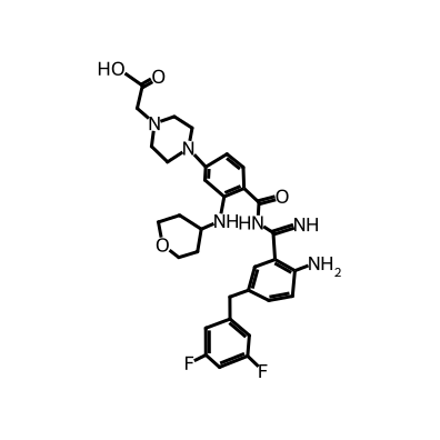 N=C(NC(=O)c1ccc(N2CCN(CC(=O)O)CC2)cc1NC1CCOCC1)c1cc(Cc2cc(F)cc(F)c2)ccc1N